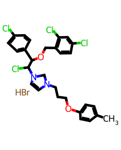 Br.Cc1ccc(OCCCN2C=CN(C(Cl)C(OCc3ccc(Cl)cc3Cl)c3ccc(Cl)cc3)C2)cc1